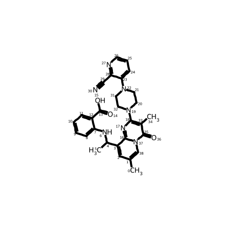 Cc1cc(C(C)Nc2ccccc2C(=O)O)c2nc(N3CCN(c4cccnc4C#N)CC3)c(C)c(=O)n2c1